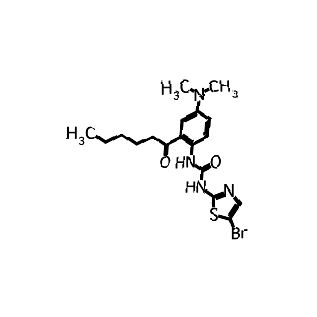 CCCCCC(=O)c1cc(N(C)C)ccc1NC(=O)Nc1ncc(Br)s1